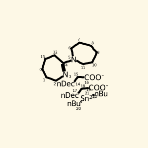 C1CCN=C(N2CCCCCC2)CC1.CCCCCCCCCCCC(=O)[O-].CCCCCCCCCCCC(=O)[O-].CCC[CH2][Sn+2][CH2]CCC